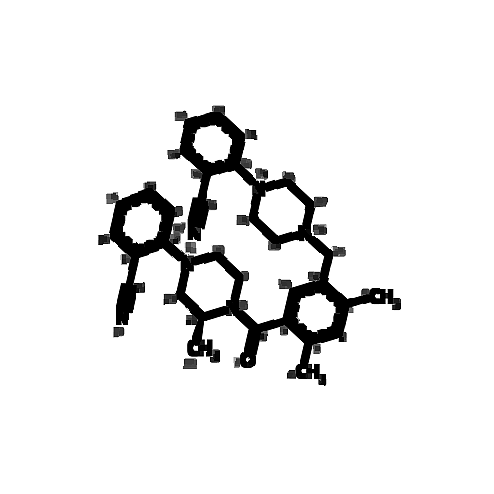 Cc1cc(C)c(C(=O)N2CCN(c3ccccc3C#N)C[C@@H]2C)cc1CN1CCN(c2ccccc2C#N)CC1